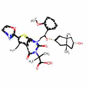 COc1ccccc1C(Cn1c(=O)n(C(C)(C)C(=O)O)c(=O)c2c(C)c(-c3ncco3)sc21)O[C@@H]1C[C@]2(C)C[C@H](O)C[C@]2(C)C1